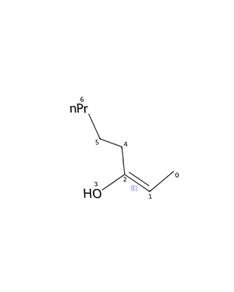 C/C=C(/O)CCCCC